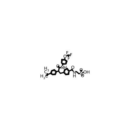 C=C(C)c1ccc(C(Cc2ccc(C(=O)NCCS(=O)(=O)O)cc2)C(=O)Nc2ccc(OC(F)(F)F)cc2)cc1